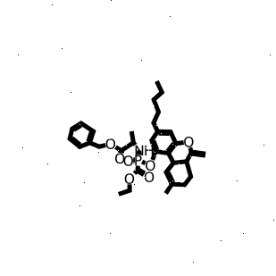 C=C1Oc2cc(CCCCC)cc(OP(=O)(NC(C)C(=O)OCc3ccccc3)C(=O)OCC)c2C2C=C(C)CCC12